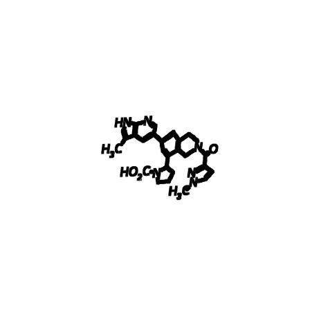 Cc1c[nH]c2ncc(-c3cc4c(c(C5CCCN5C(=O)O)c3)CN(C(=O)c3ccn(C)n3)CC4)cc12